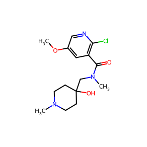 COc1cnc(Cl)c(C(=O)N(C)CC2(O)CCN(C)CC2)c1